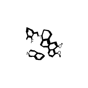 COc1cccc2c1c(OC)cc1c3c(ccc12)[C@H](CCc1cccc(C)c1F)CCC3.c1ccc2cnccc2c1